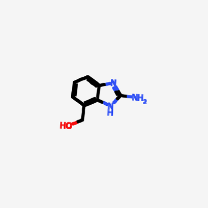 Nc1nc2cccc(CO)c2[nH]1